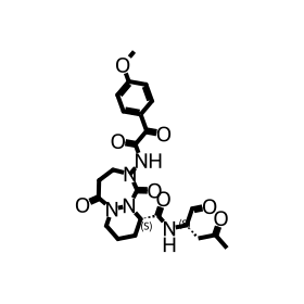 COc1ccc(C(=O)C(=O)NN2CCC(=O)N3CCC[C@@H](C(=O)N[C@H](C=O)CC(C)=O)N3C2=O)cc1